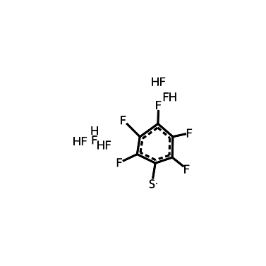 F.F.F.F.F.Fc1c(F)c(F)c([S])c(F)c1F